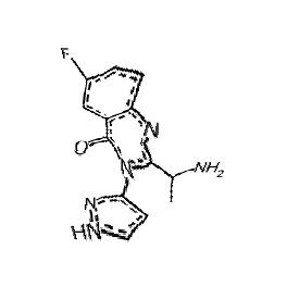 CC(N)c1nc2ccc(F)cc2c(=O)n1-c1cc[nH]n1